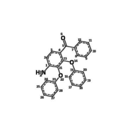 Nc1ccc(C(=O)c2ccccc2)c(Oc2ccccc2)c1Oc1ccccc1